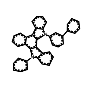 c1ccc(-c2cccc(-n3c4ccccc4c4c5ccccc5c5c(c6ccccc6n5-c5ccccc5)c43)c2)cc1